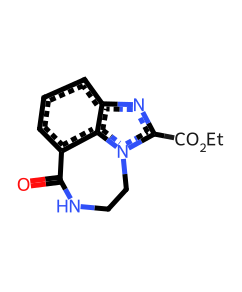 CCOC(=O)c1nc2cccc3c2n1CCNC3=O